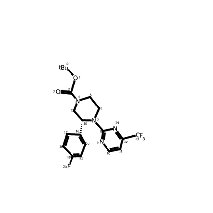 CC(C)(C)OC(=O)N1CCN(c2nccc(C(F)(F)F)n2)[C@H](c2ccc(F)cc2)C1